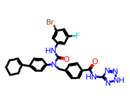 O=C(Nc1nn[nH]n1)c1ccc(CN(C(=O)Nc2cc(F)cc(Br)c2)c2ccc(C3=CCCCC3)cc2)cc1